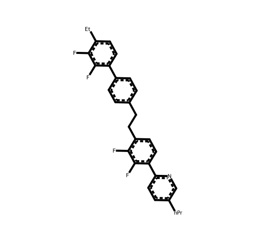 CCCc1ccc(-c2ccc(CCc3ccc(-c4ccc(CC)c(F)c4F)cc3)c(F)c2F)nc1